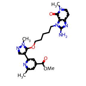 COC(=O)c1cc(C)nc(-c2cnn(C)c2OCCCCCn2c(N)nc3ccn(C)c(=O)c32)c1